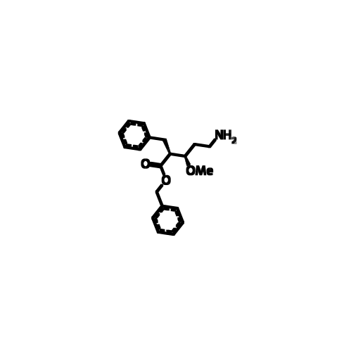 CO[C@H](CCN)[C@H](Cc1ccccc1)C(=O)OCc1ccccc1